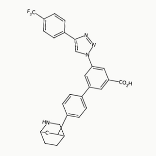 O=C(O)c1cc(-c2ccc(C3CC4CCC3CN4)cc2)cc(-n2cc(-c3ccc(C(F)(F)F)cc3)nn2)c1